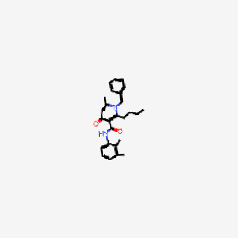 CCCCc1c(C(=O)Nc2cccc(C)c2C)c(=O)cc(C)n1Cc1ccccc1